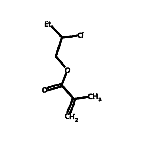 C=C(C)C(=O)OCC(Cl)CC